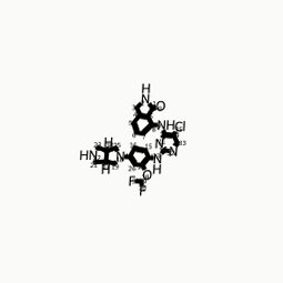 O=C1NCc2cccc(Nc3nc(Nc4ccc(N5C[C@H]6CNC[C@H]6C5)cc4OC(F)F)ncc3Cl)c21